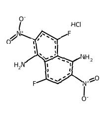 Cl.Nc1c([N+](=O)[O-])cc(F)c2c(N)c([N+](=O)[O-])cc(F)c12